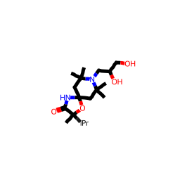 CC(C)C1(C)OC2(CC(C)(C)N(CC(O)CO)C(C)(C)C2)NC1=O